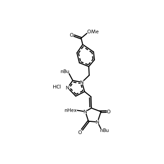 CCCCCCN1C(=O)N(CCCC)C(=O)C1=Cc1cnc(CCCC)n1Cc1ccc(C(=O)OC)cc1.Cl